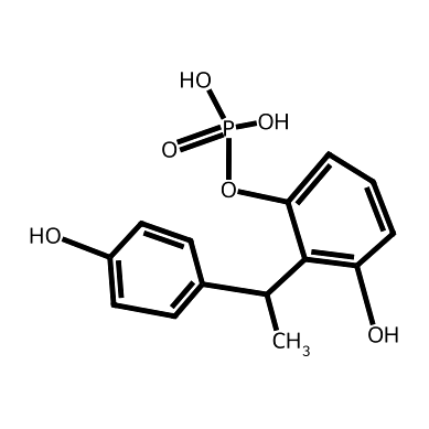 CC(c1ccc(O)cc1)c1c(O)cccc1OP(=O)(O)O